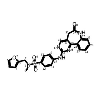 CN(Cc1ccco1)S(=O)(=O)c1ccc(Nc2ncc3c(n2)-c2ccccc2NC(=O)C3)cc1